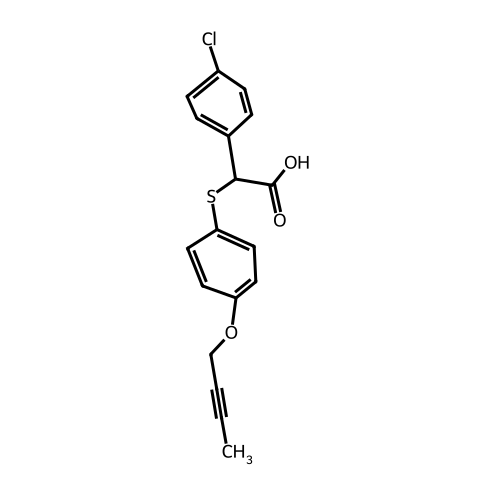 CC#CCOc1ccc(SC(C(=O)O)c2ccc(Cl)cc2)cc1